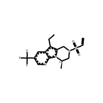 C=CS(=O)(=O)N1Cc2c(CC)c3cc(C(F)(F)F)cnc3n2[C@H](C)C1